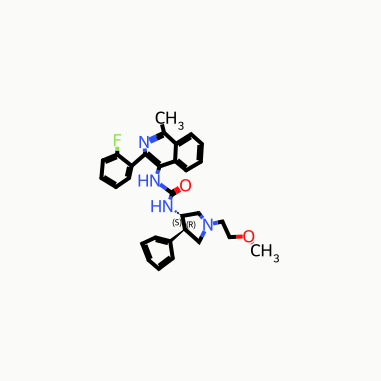 COCCN1C[C@@H](NC(=O)Nc2c(-c3ccccc3F)nc(C)c3ccccc23)[C@H](c2ccccc2)C1